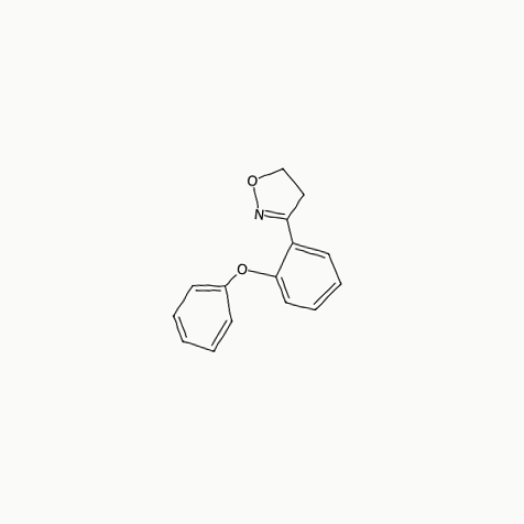 c1ccc(Oc2ccccc2C2=NOCC2)cc1